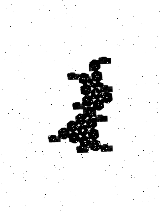 C=C/C=C(\C(=C/C(C)(C)C)c1ccc(-c2cc(C(C)(C)C)ccn2)cc1)C1CC(c2ccccc2-c2ccc(-c3cnc(-c4ccc(-c5ccccc5C5CC(c6ccc(C(C)(C)C)cc6-c6ccc(-c7cc(C(C)(C)C)ccn7)cc6)CC(c6ccc(C(C)(C)C)cc6-c6ccc(-c7cc(C(C)(C)C)ccn7)cc6)C5)cc4)cn3)cc2)CC(c2ccc(C(C)(C)C)cc2-c2ccc(-c3cc(C(C)(C)C)ccn3)cc2)C1